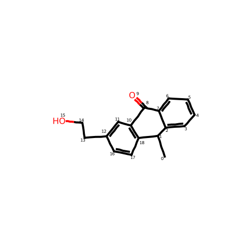 CC1c2ccccc2C(=O)c2cc(CCO)ccc21